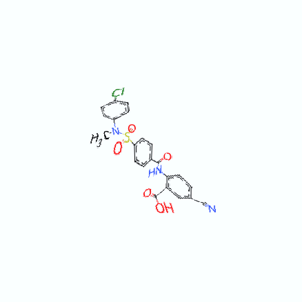 CN(c1ccc(Cl)cc1)S(=O)(=O)c1ccc(C(=O)Nc2ccc(C#N)cc2C(=O)O)cc1